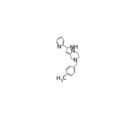 Cc1ccc(CN2CCN3NC(c4ccccn4)C=C3C2)cc1